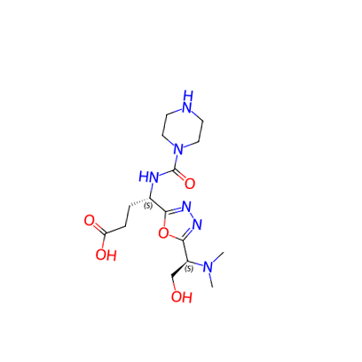 CN(C)[C@@H](CO)c1nnc([C@H](CCC(=O)O)NC(=O)N2CCNCC2)o1